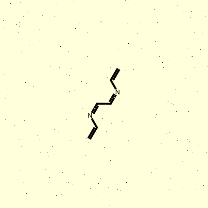 C=C/N=C\C=N/C=C